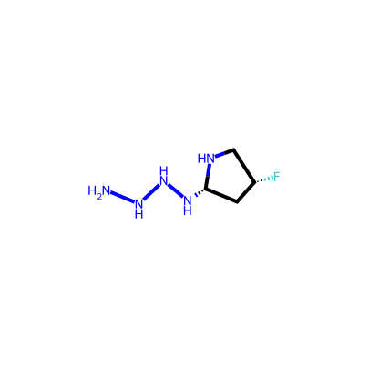 NNNN[C@H]1C[C@@H](F)CN1